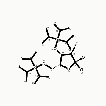 CC(C)[Si](OC[C@H]1O[C@@](O)(Cl)[C@H](F)[C@@H]1O[Si](C(C)C)(C(C)C)C(C)C)(C(C)C)C(C)C